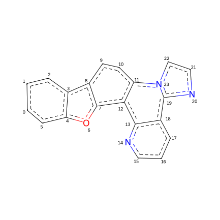 c1ccc2c(c1)oc1c2ccc2c1c1ncccc1c1nccn21